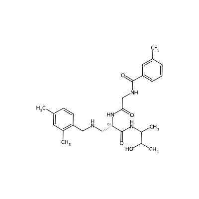 Cc1ccc(CNC[C@H](NC(=O)CNC(=O)c2cccc(C(F)(F)F)c2)C(=O)NC(C)C(C)O)c(C)c1